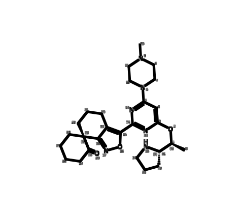 C[C@H](Oc1cc(N2CCN(C)CC2)nc(-c2onc3c2CCC[C@@]32CCCCC2=O)n1)[C@@H]1CCCN1